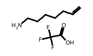 C=CCCCCCN.O=C(O)C(F)(F)F